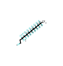 FCCC(F)(F)C(F)(F)C(F)(F)C(F)(F)C(F)(F)C(F)(F)C(F)(F)C(F)(F)C(F)(F)C(F)(F)F